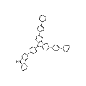 c1ccc(-c2ccc(-c3ccc4c(c3)c3cc(-c5ccc(-c6ccccc6)cc5)ccc3n4-c3ccc(-c4ccc5[nH]c6ccccc6c5c4)cc3)cc2)cc1